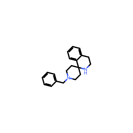 c1ccc(CN2CCC3(CC2)NCCc2ccccc23)cc1